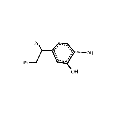 CC(C)CC(c1ccc(O)c(O)c1)C(C)C